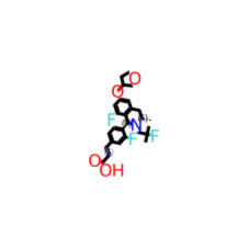 C[C@H]1Cc2cc(OC3CCOC3)ccc2[C@H](c2c(F)cc(/C=C/C(=O)O)cc2F)N1CC(C)(C)F